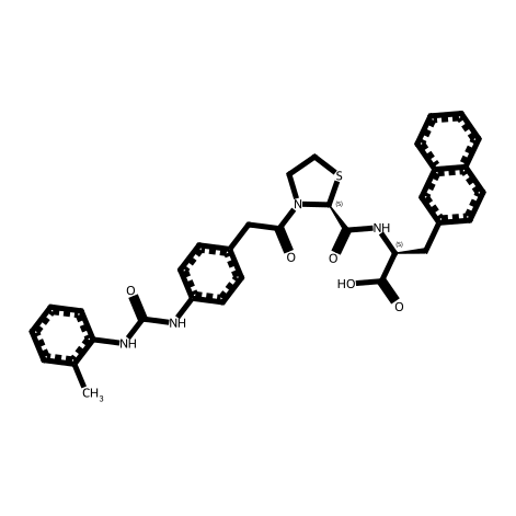 Cc1ccccc1NC(=O)Nc1ccc(CC(=O)N2CCS[C@H]2C(=O)N[C@@H](Cc2ccc3ccccc3c2)C(=O)O)cc1